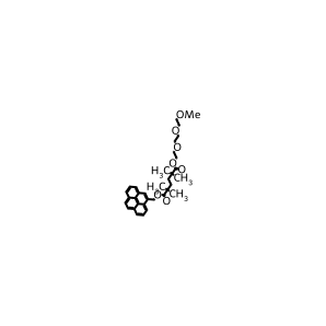 COCCOCCOCCOC(=O)C(C)(C)CCC(C)(C)C(=O)OCc1cc2cccc3ccc4cccc1c4c32